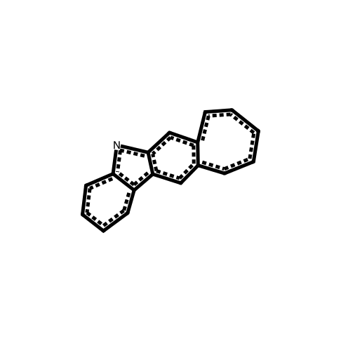 c1ccc2cc3nc4ccccc4c3cc2cc1